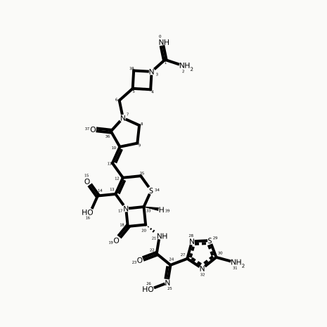 N=C(N)N1CC(CN2CC/C(=C\C3=C(C(=O)O)N4C(=O)[C@@H](NC(=O)/C(=N\O)c5nsc(N)n5)[C@H]4SC3)C2=O)C1